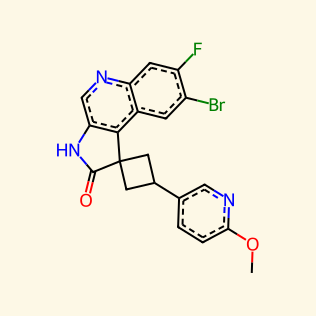 COc1ccc(C2CC3(C2)C(=O)Nc2cnc4cc(F)c(Br)cc4c23)cn1